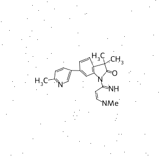 CN/C=C\C(=N)N1C(=O)C(C)(C)c2ccc(-c3ccc(C)nc3)cc21